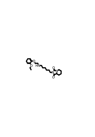 CCOC1=CCCC=C1OCCNCCCCCCN1C(=O)C2CCCCN2C1=O